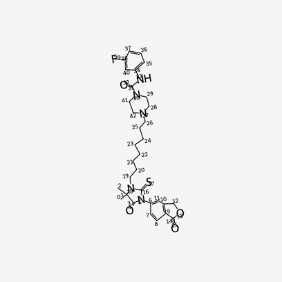 CC1(C)C(=O)N(c2ccc3c(c2)COC3=O)C(=S)N1CCCCCCCCN1CCN(C(=O)Nc2cccc(F)c2)CC1